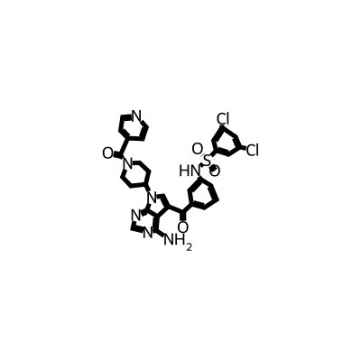 Nc1ncnc2c1c(C(=O)c1cccc(NS(=O)(=O)c3cc(Cl)cc(Cl)c3)c1)cn2C1CCN(C(=O)c2ccncc2)CC1